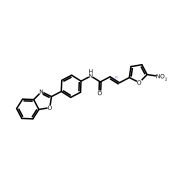 O=C(/C=C/c1ccc([N+](=O)[O-])o1)Nc1ccc(-c2nc3ccccc3o2)cc1